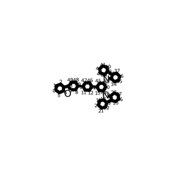 c1ccc2c(c1)oc1cc(-c3ccc(-c4cc(-n5c6ccccc6c6ccccc65)cc(-n5c6ccccc6c6ccccc65)c4)cc3)ccc12